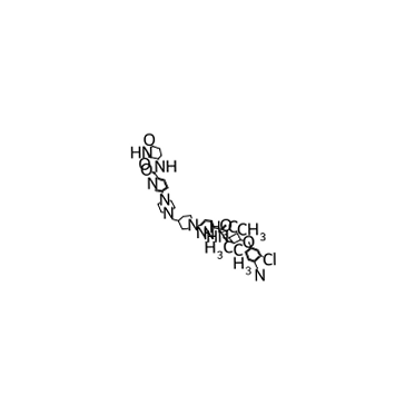 CC1(C)C(NC(=O)c2ccc(N3CCC(CN4CCN(c5ccc(C(=O)NC6CCC(=O)NC6=O)nc5)CC4)CC3)nn2)C(C)(C)C1Oc1ccc(C#N)c(Cl)c1